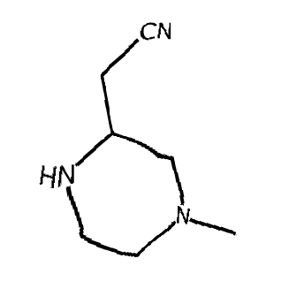 CN1CCNC(CC#N)C1